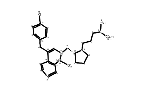 CC(C)(C)N(CCCN1CCC[C@@H]1CN1C=C(Cc2ccc(Cl)cc2)c2ccncc2[NH+]1[O-])C(=O)O